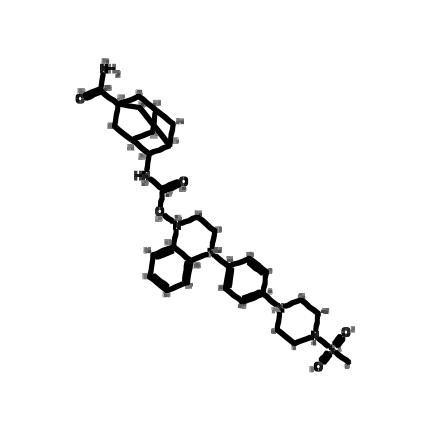 CS(=O)(=O)N1CCN(c2ccc(N3CCN(OC(=O)NC4C5CC6CC4CC(C(N)=O)(C6)C5)c4ccccc43)cc2)CC1